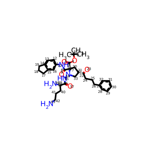 CC(C)(C)OC(=O)[C@@]1(C(=O)Nc2ccc3c(c2)CCC3)C[C@H](C(=O)CCCc2ccccc2)CN1NC(=O)[C@H](N)CCCN